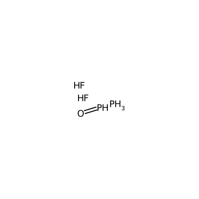 F.F.O=P.P